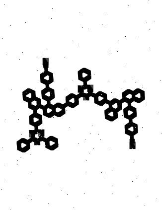 N#Cc1ccc(-c2ccc(-c3c(-c4cc(-c5ccc(-c6nc(-c7ccccc7)nc(-c7ccc(-c8ccc9ccc(-c%10cc%11ccccc%11cc%10-c%10ccc(-c%11nc(-c%12ccccc%12)nc(-c%12ccccc%12)n%11)cc%10)c(-c%10ccc(-c%11ccc(C#N)cc%11)cc%10)c9c8)cc7)n6)cc5)c5ccccc5c4)ccc4ccccc34)cc2)cc1